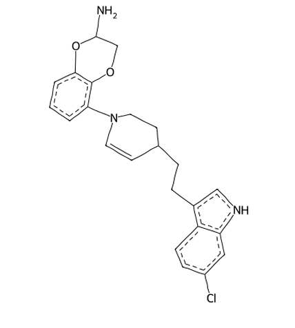 NC1COc2c(cccc2N2C=CC(CCc3c[nH]c4cc(Cl)ccc34)CC2)O1